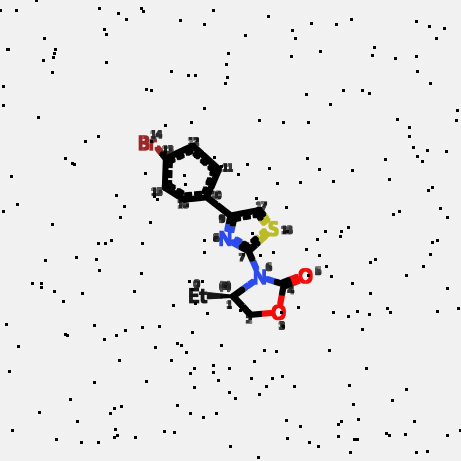 CC[C@@H]1COC(=O)N1c1nc(-c2ccc(Br)cc2)cs1